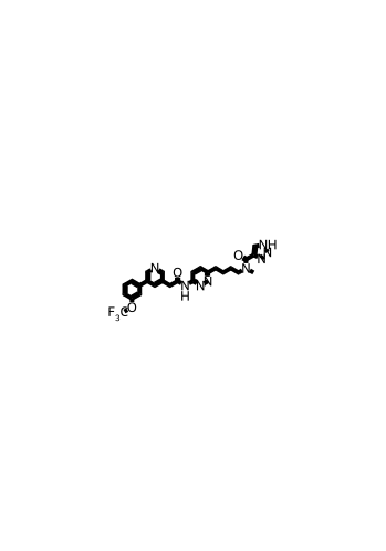 CN(CCCCc1ccc(NC(=O)Cc2cncc(-c3cccc(OC(F)(F)F)c3)c2)nn1)C(=O)c1c[nH]nn1